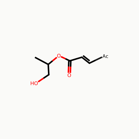 CC(=O)/C=C/C(=O)OC(C)CO